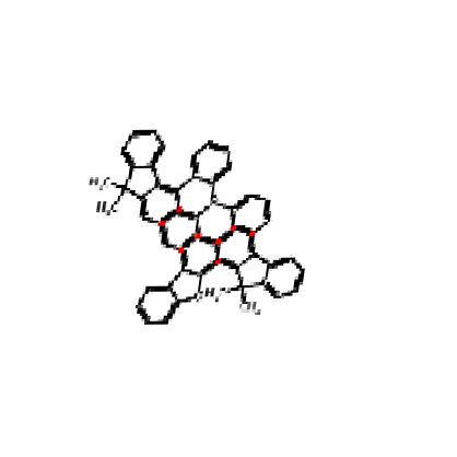 CC1(C)c2ccccc2-c2ccc(-c3ccccc3N(c3ccccc3-c3ccc4c(c3)oc3ccccc34)c3ccccc3-c3cccc4c3-c3ccccc3C4(C)C)cc21